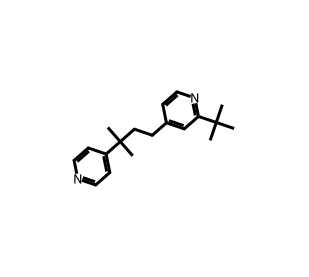 CC(C)(C)c1cc(CCC(C)(C)c2ccncc2)ccn1